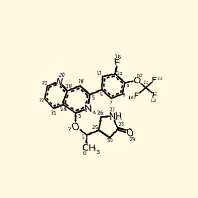 C[C@@H](Oc1nc(-c2ccc(OC(F)(F)F)c(F)c2)cc2ncccc12)C1CNC(=O)C1